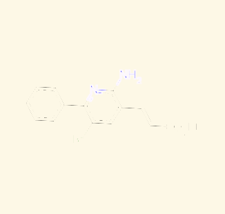 CCOC(=O)/C=C/c1cc(Br)c(-c2ccccc2)nc1N